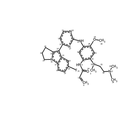 C=CC(=O)Nc1cc(Nc2nccc(-c3c4n(c5ccc(F)cc35)CCC4)n2)c(OC)cc1N(C)CCN(C)C